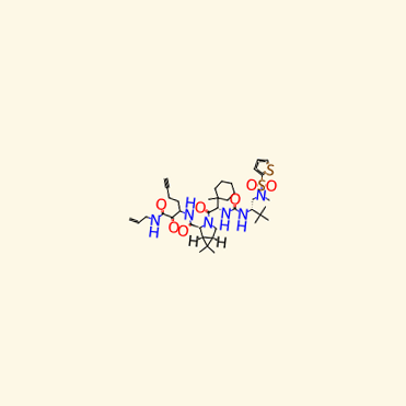 C#CCCC(NC(=O)[C@@H]1[C@@H]2[C@H](CN1C(=O)[C@@H](NC(=O)N[C@H](CN(C)S(=O)(=O)c1cccs1)C(C)(C)C)C1(C)CCCCC1)C2(C)C)C(=O)C(=O)NCC=C